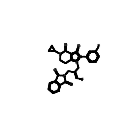 O=C1c2ccccc2C(=O)N1CC(=CF)Cn1c2c(c(=O)n1-c1cccc(F)c1)C(=O)N(C1CC1)CC2